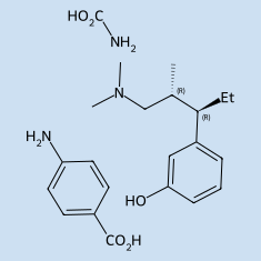 CC[C@@H](c1cccc(O)c1)[C@@H](C)CN(C)C.NC(=O)O.Nc1ccc(C(=O)O)cc1